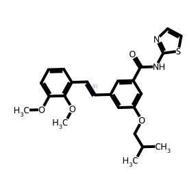 COc1cccc(/C=C/c2cc(OCC(C)C)cc(C(=O)Nc3nccs3)c2)c1OC